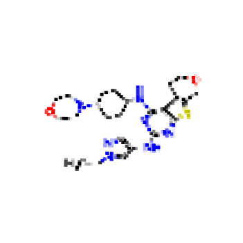 CCn1cc(Nc2nc(N[C@H]3CC[C@H](N4CCOCC4)CC3)c3c4c(sc3n2)COCC4)cn1